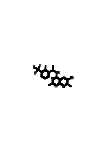 Cc1nc(NC(C)c2cccc(C(F)(F)F)c2C)c2cc(Br)c(C)nc2n1